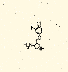 NC1CNCC1COc1ccc(Cl)c(F)c1